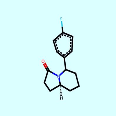 O=C1CC[C@@H]2CCCC(c3ccc(F)cc3)N12